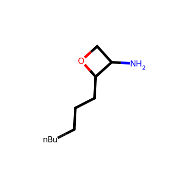 CCCCCCCC1OCC1N